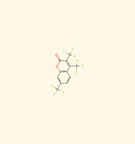 O=c1oc2cc(C(F)(F)F)ccc2c(C(F)(F)F)c1C(F)(F)F